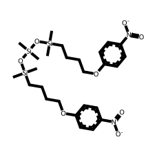 C[Si](C)(CCCCOc1ccc([N+](=O)[O-])cc1)O[Si](C)(C)O[Si](C)(C)CCCCOc1ccc([N+](=O)[O-])cc1